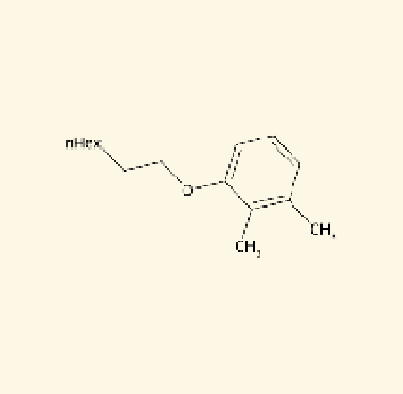 [CH2]CCCCCCCOc1cccc(C)c1C